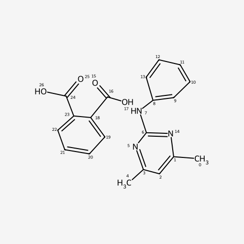 Cc1cc(C)nc(Nc2ccccc2)n1.O=C(O)c1ccccc1C(=O)O